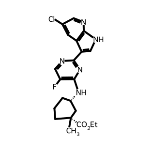 CCOC(=O)[C@]1(C)CCC[C@H](Nc2nc(-c3c[nH]c4ncc(Cl)cc34)ncc2F)C1